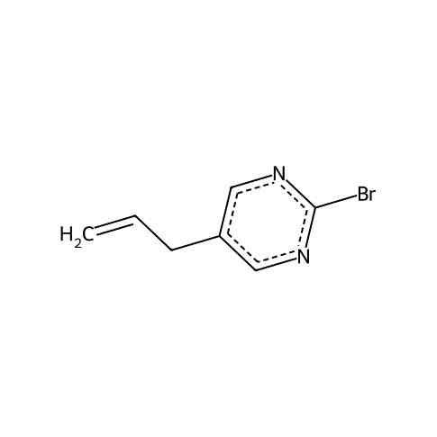 C=CCc1cnc(Br)nc1